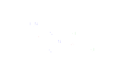 Cc1nc2cccc(OCc3c(Cl)cccc3Cl)c2nc1N(C)C(=O)CN